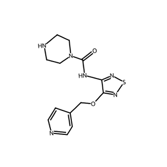 O=C(Nc1nsnc1OCc1ccncc1)N1CCNCC1